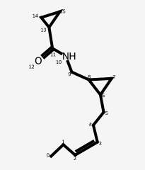 CC/C=C\CCC1CC1CNC(=O)C1CC1